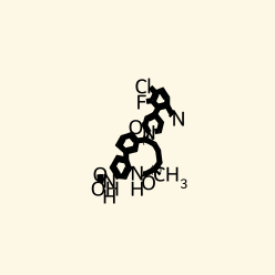 C[C@@H]1CCC[C@H](N2CCC(c3c(C#N)ccc(Cl)c3F)=CC2=O)c2cccc(c2)-c2ccc(NC(=O)O)cc2NC1=O